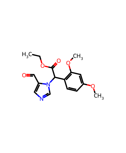 CCOC(=O)C(c1ccc(OC)cc1OC)n1cncc1C=O